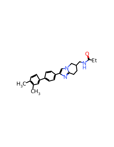 CCC(=O)NCC1CCc2nc(-c3ccc(-c4ccc(C)c(C)c4)cc3)cn2C1